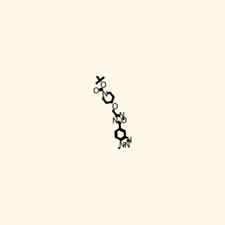 Cn1nnc2cc(-c3nc(COC4CCN(C(=O)OC(C)(C)C)CC4)no3)ccc21